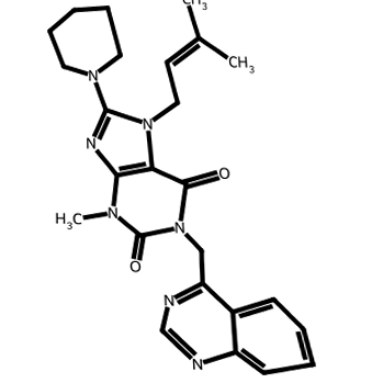 CC(C)=CCn1c(N2CCCCC2)nc2c1c(=O)n(Cc1ncnc3ccccc13)c(=O)n2C